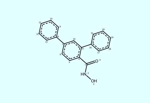 O=C(NO)c1ccc(-c2ccccc2)cc1-c1ccccc1